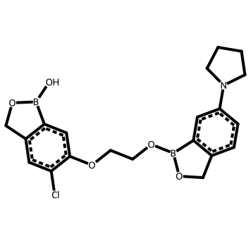 OB1OCc2cc(Cl)c(OCCOB3OCc4ccc(N5CCCC5)cc43)cc21